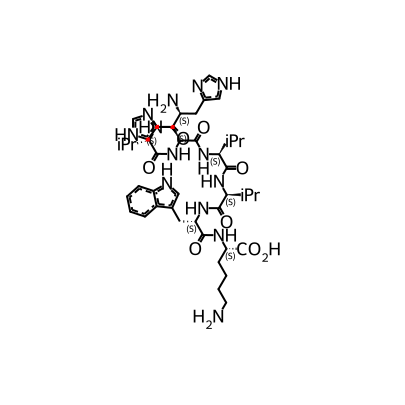 CC(C)[C@H](NC(=O)[C@H](Cc1c[nH]cn1)NC(=O)[C@@H](NC(=O)[C@@H](N)Cc1c[nH]cn1)C(C)C)C(=O)N[C@H](C(=O)N[C@@H](Cc1c[nH]c2ccccc12)C(=O)N[C@@H](CCCCN)C(=O)O)C(C)C